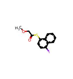 COCC(=O)Sc1ccc(I)c2ccccc12